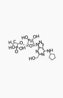 CC(OC[C@H]1O[C@@H](n2ncc3c(NC4CCCC4)nc(CO)nc32)[C@H](O)[C@@H]1O)P(=O)(O)O